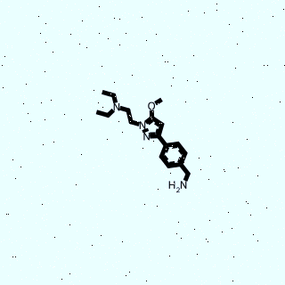 CCN(CC)CCn1nc(-c2ccc(CN)cc2)cc1OC